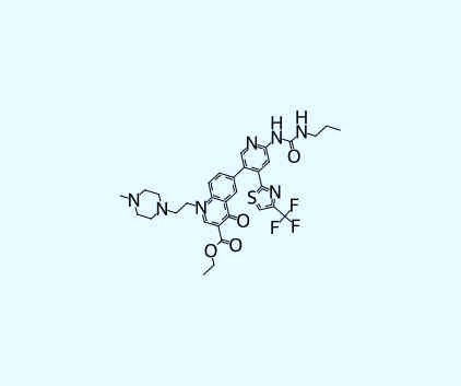 CCCNC(=O)Nc1cc(-c2nc(C(F)(F)F)cs2)c(-c2ccc3c(c2)c(=O)c(C(=O)OCC)cn3CCN2CCN(C)CC2)cn1